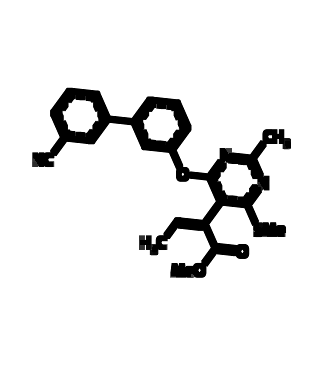 CC=C(C(=O)OC)c1c(Oc2cccc(-c3cccc(C#N)c3)c2)nc(C)nc1SC